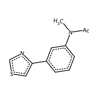 CC(=O)N(C)c1cccc(-c2cscn2)c1